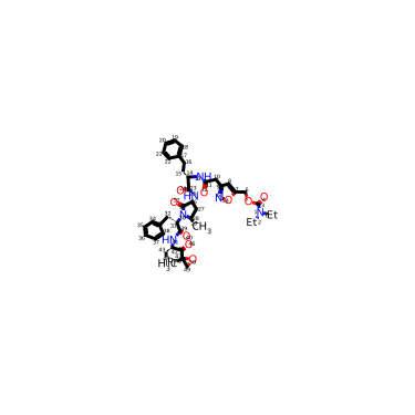 CCN(CC)C(=O)OCc1cc(CC(=O)N[C@@H](CCc2ccccc2)C(=O)N[C@H]2CC(C)N([C@@H](Cc3ccccc3)C(=O)N[C@@H](CC(C)C)C(=O)C3(C)CO3)C2=O)no1